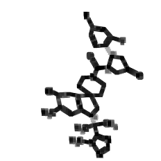 Cc1cc2c(cc1Cl)C1(CCN(C(=O)[C@@H]3CC(=O)C[C@H]3c3ccc(F)cc3F)CC1)C[C@@H]2C(C)(C)c1ncnn1C